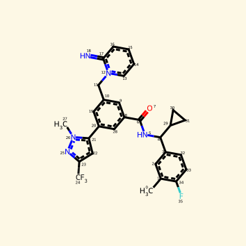 Cc1cc(C(NC(=O)c2cc(Cn3ccccc3=N)cc(-c3cc(C(F)(F)F)nn3C)c2)C2CC2)ccc1F